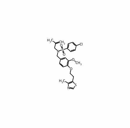 C=C(C)CN(Cc1ccc(OCCc2scnc2C)c(OC)c1)S(=O)(=O)c1ccc(Cl)cc1